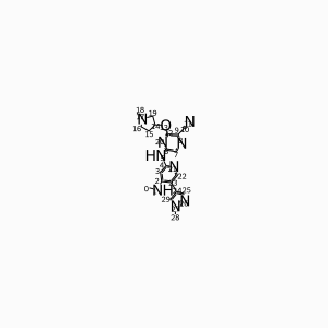 CNc1cc(Nc2cnc(C#N)c(OC3CCN(C)C3)n2)ncc1-c1cnn(C)c1